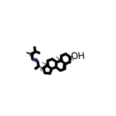 CC(C)[C@H](C)/C=C/C(C)[C@H]1CCC2C3CC=C4C[C@@H](O)CC[C@]4(C)C3CC[C@@]21C